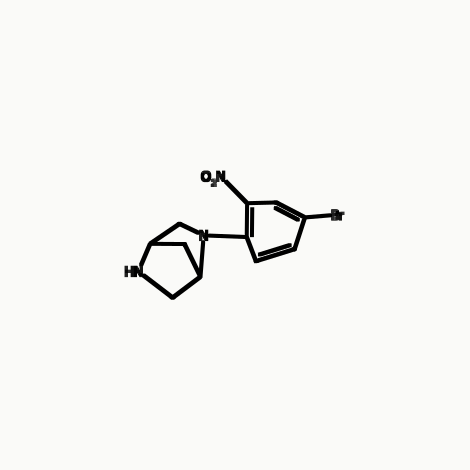 O=[N+]([O-])c1cc(Br)ccc1N1CC2CC1CN2